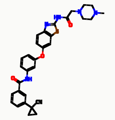 CN1CCN(CC(=O)Nc2nc3ccc(Oc4cccc(NC(=O)c5cccc(C6(C#N)CC6)c5)c4)cc3s2)CC1